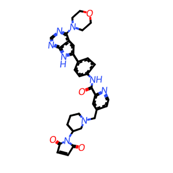 O=C(Nc1ccc(-c2cc3c(N4CCOCC4)ncnc3[nH]2)cc1)c1cc(CN2CCCC(N3C(=O)C=CC3=O)C2)ccn1